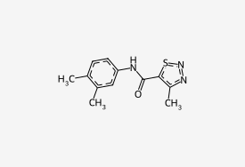 Cc1ccc(NC(=O)c2snnc2C)cc1C